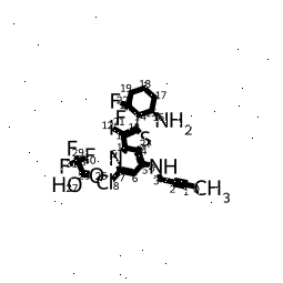 CC#CCNc1cc(Cl)nc2c(I)c([C@H]3[C@H](N)CCCC3(F)F)sc12.O=C(O)C(F)(F)F